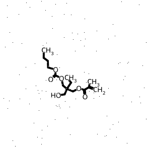 C=C(C)C(=O)OCC(CC)(CO)COC(=O)OCCCC